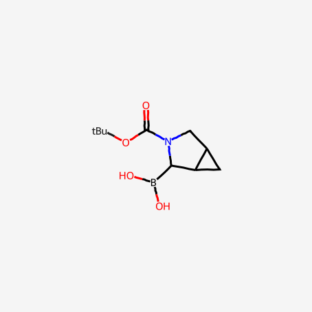 CC(C)(C)OC(=O)N1CC2CC2C1B(O)O